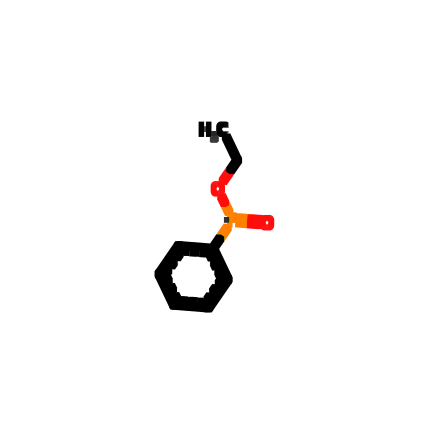 CCO[P](=O)c1ccccc1